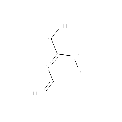 C=C/N=C(/CC)ON